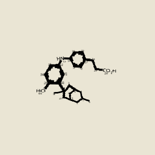 CC1CC2CC(C1)CC(C)(c1cc(Nc3ccc(CCC(=O)O)cc3)ccc1O)C2